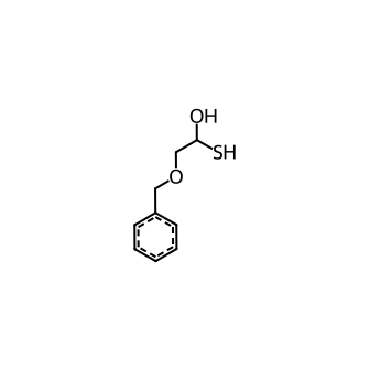 OC(S)COCc1ccccc1